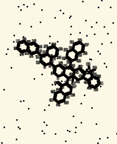 C=C1C(C2C3CC=C(C4C=CC(c5ccc6ccccc6c5)=C5C=CC=CC54)C=C3C(C3=CCC4C=CC=CC4=C3)=C3C=C4C(CC32C)c2ccccc2[Si]4(C)C)=CC=C2C=CC=CC12